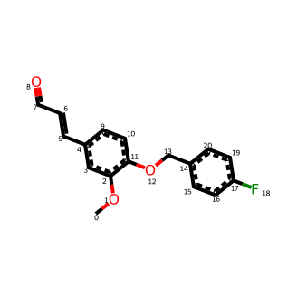 COc1cc(/C=C/C=O)ccc1OCc1ccc(F)cc1